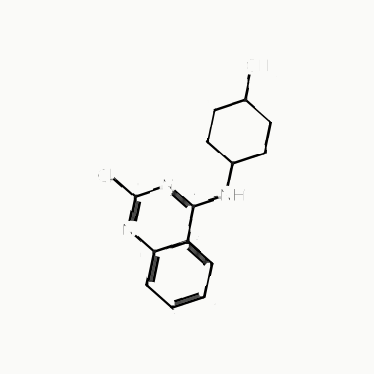 CC1CCC(Nc2nc(Cl)nc3ccccc23)CC1